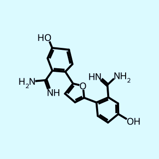 N=C(N)c1cc(O)ccc1-c1ccc(-c2ccc(O)cc2C(=N)N)o1